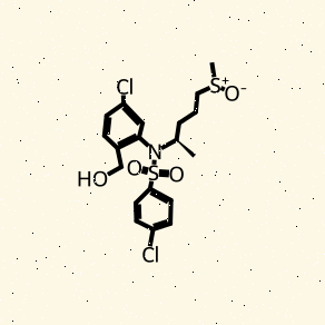 C[C@H](CCC[S+](C)[O-])N(c1cc(Cl)ccc1CO)S(=O)(=O)c1ccc(Cl)cc1